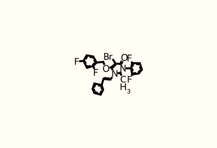 CC1N(C=Cc2ccccc2)C(OCc2ccc(F)cc2F)=C(Br)C(=O)N1c1c(F)cccc1F